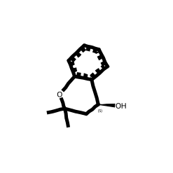 CC1(C)C[C@H](O)c2ccccc2O1